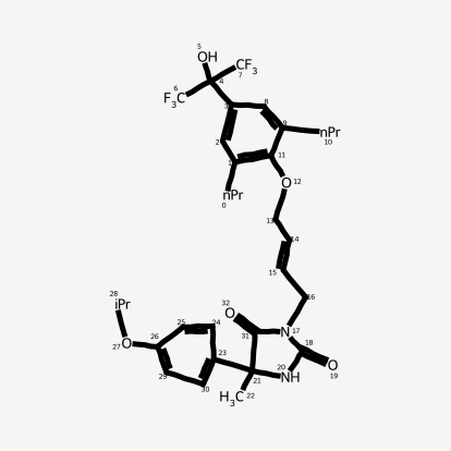 CCCc1cc(C(O)(C(F)(F)F)C(F)(F)F)cc(CCC)c1OCC=CCN1C(=O)NC(C)(c2ccc(OC(C)C)cc2)C1=O